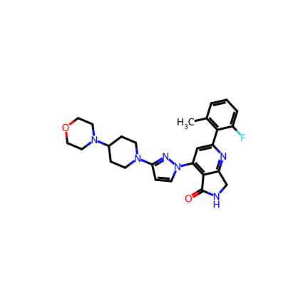 Cc1cccc(F)c1-c1cc(-n2ccc(N3CCC(N4CCOCC4)CC3)n2)c2c(n1)CNC2=O